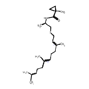 CC(C)=CCC/C(C)=C/CC/C(C)=C/CSCC(C)NC(=O)C1(C=O)CC1